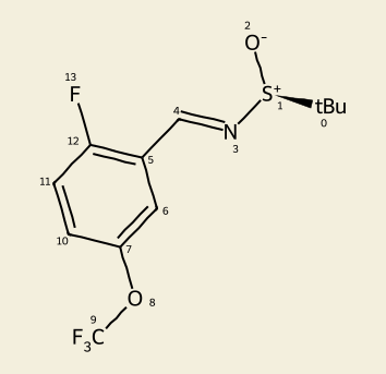 CC(C)(C)[S@+]([O-])N=Cc1cc(OC(F)(F)F)ccc1F